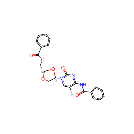 O=C(Nc1nc(=O)n([C@@H]2CO[C@H](COC(=O)c3ccccc3)O2)cc1F)c1ccccc1